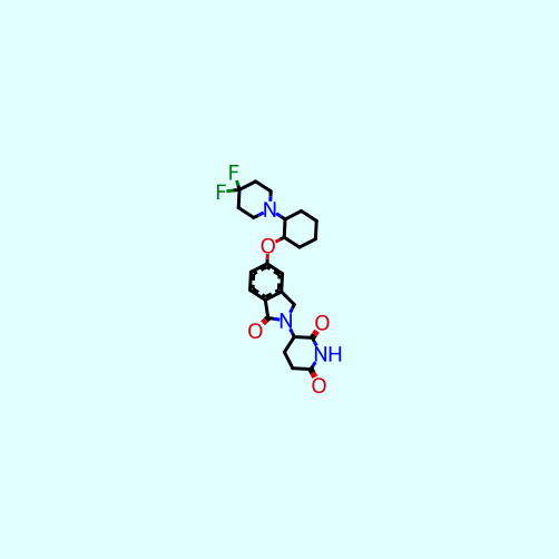 O=C1CCC(N2Cc3cc(OC4CCCCC4N4CCC(F)(F)CC4)ccc3C2=O)C(=O)N1